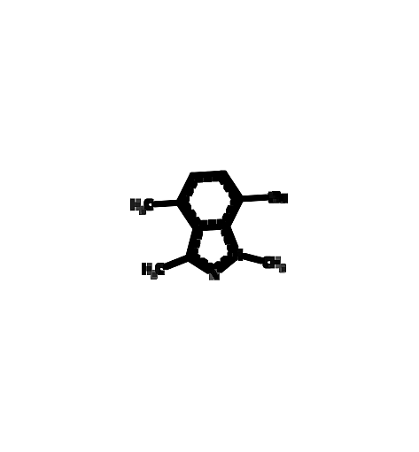 Cc1ccc(C(C)(C)C)c2c1c(C)nn2C